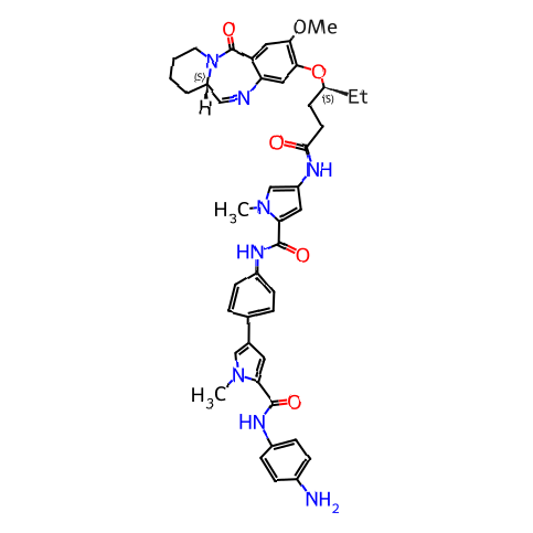 CC[C@@H](CCC(=O)Nc1cc(C(=O)Nc2ccc(-c3cc(C(=O)Nc4ccc(N)cc4)n(C)c3)cc2)n(C)c1)Oc1cc2c(cc1OC)C(=O)N1CCCC[C@H]1C=N2